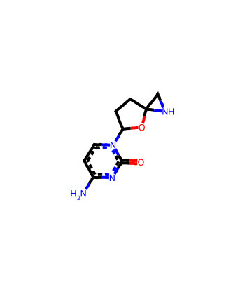 Nc1ccn(C2CCC3(CN3)O2)c(=O)n1